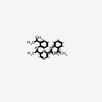 CC(=Nc1ccccc1C(C)C)c1cncc(C(C)=Nc2ccccc2C(C)C)n1